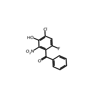 O=C(c1ccccc1)c1c(F)cc(Cl)c(O)c1[N+](=O)[O-]